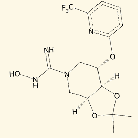 CC1(C)O[C@@H]2[C@@H](Oc3cccc(C(F)(F)F)n3)CN(C(=N)NO)C[C@@H]2O1